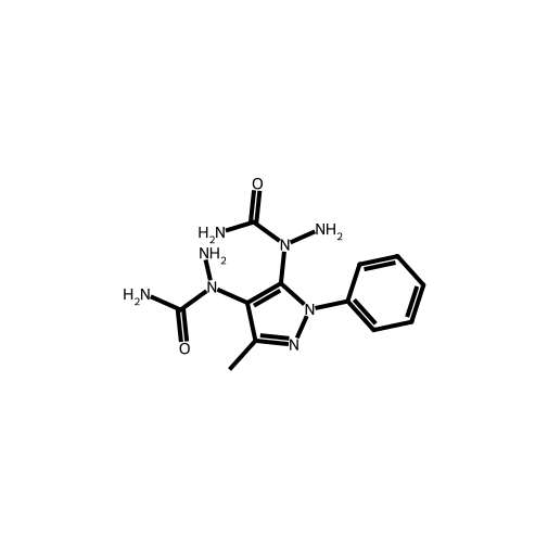 Cc1nn(-c2ccccc2)c(N(N)C(N)=O)c1N(N)C(N)=O